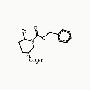 CCOC(=O)[C@H]1CCC(CC)N(C(=O)OCc2ccccc2)C1